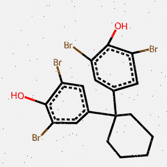 Oc1c(Br)cc(C2(c3cc(Br)c(O)c(Br)c3)CCCCC2)cc1Br